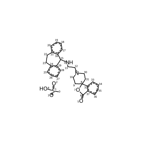 CS(=O)(=O)O.O=C1OC2(CCN(CCNC3c4ccccc4CCc4ccccc43)CC2)c2ccccc21